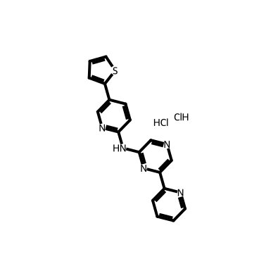 Cl.Cl.c1ccc(-c2cncc(Nc3ccc(-c4cccs4)cn3)n2)nc1